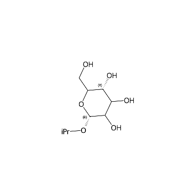 CC(C)O[C@@H]1OC(CO)[C@H](O)C(O)C1O